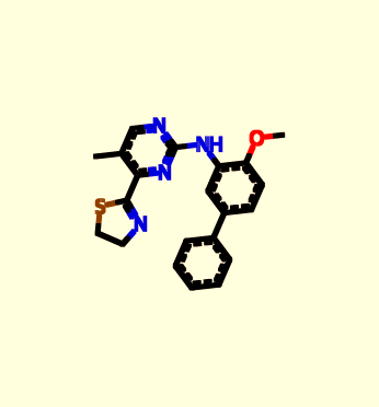 COc1ccc(-c2ccccc2)cc1Nc1ncc(C)c(C2=NCCS2)n1